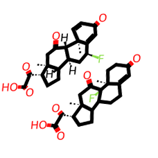 C[C@]12CC(=O)[C@@]3(F)C(CCC4=CC(=O)CC[C@@]43C)C1CC[C@@H]2C(=O)C(=O)O.C[C@]12CC(=O)[C@H]3[C@@H](C[C@H](F)C4=CC(=O)C=C[C@@]43C)[C@@H]1CC[C@@H]2C(=O)C(=O)O